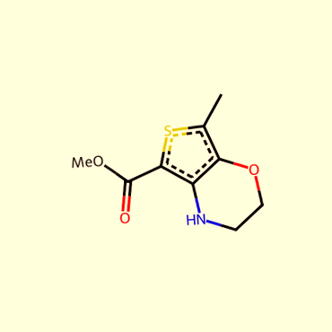 COC(=O)c1sc(C)c2c1NCCO2